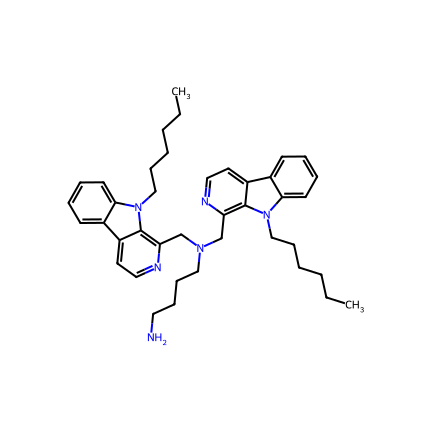 CCCCCCn1c2ccccc2c2ccnc(CN(CCCCN)Cc3nccc4c5ccccc5n(CCCCCC)c34)c21